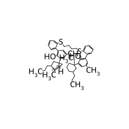 CCCC1CCCC(CC)(c2cc(C)cc(-c3ccccc3SCCCCSc3ccccc3-c3cc(C)cc(C45CC(CCC)[C@H](C)[C@H]4C5)c3O)c2O)C1